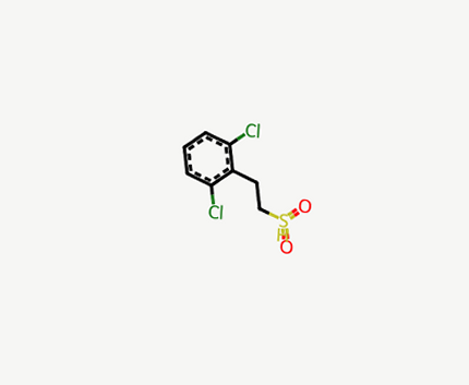 O=[SH](=O)CCc1c(Cl)cccc1Cl